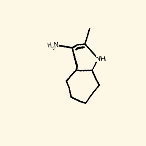 CC1=C(N)C2CCCCC2N1